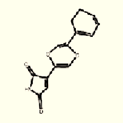 O=C1C=C(C2=COC(C3=CC=CCC3)=CO2)C(=O)N1